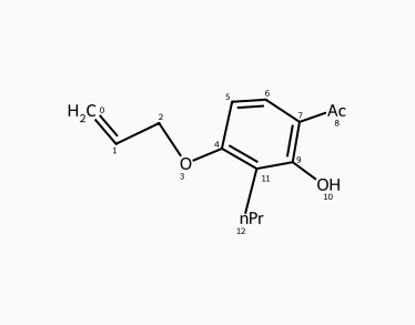 C=CCOc1ccc(C(C)=O)c(O)c1CCC